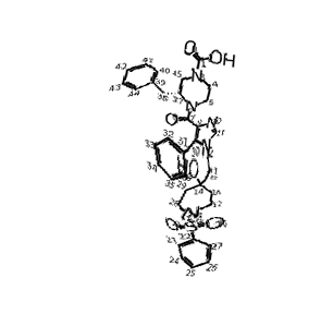 O=C(O)N1CCN(C(=O)c2ncn(CC3(O)CCN(S(=O)(=O)c4ccccc4)CC3)c2-c2ccccc2)[C@H](Cc2ccccc2)C1